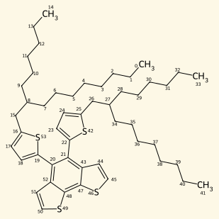 CCCCCCCCC(CCCCCC)Cc1ccc(-c2c(-c3ccc(CC(CCCCCC)CCCCCCCC)s3)c3ccsc3c3sccc23)s1